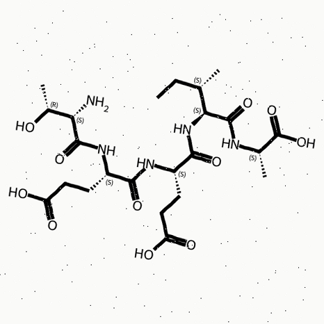 CC[C@H](C)[C@H](NC(=O)[C@H](CCC(=O)O)NC(=O)[C@H](CCC(=O)O)NC(=O)[C@@H](N)[C@@H](C)O)C(=O)N[C@@H](C)C(=O)O